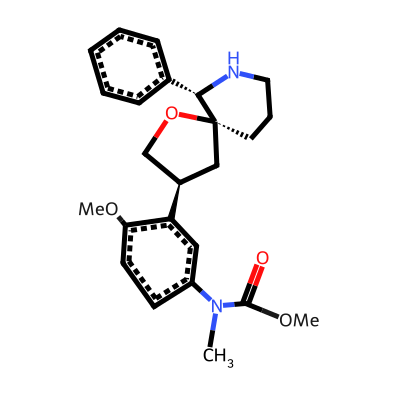 COC(=O)N(C)c1ccc(OC)c([C@H]2CO[C@]3(CCCN[C@H]3c3ccccc3)C2)c1